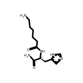 NCCCCCC(=O)N[C@@H](Cc1cnc[nH]1)C(N)=O